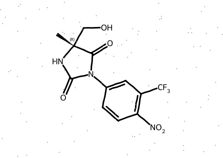 C[C@]1(CO)NC(=O)N(c2ccc([N+](=O)[O-])c(C(F)(F)F)c2)C1=O